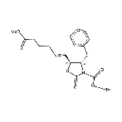 COC(=O)CCCC=C[C@@H]1OC(=O)N(C(=O)OC(C)(C)C)[C@H]1Cc1ccccc1